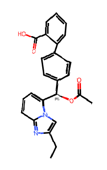 CCc1cn2c([C@H](OC(C)=O)c3ccc(-c4ccccc4C(=O)O)cc3)cccc2n1